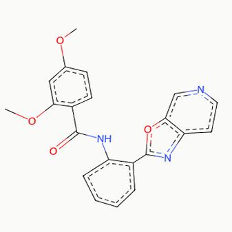 COc1ccc(C(=O)Nc2ccccc2-c2nc3ccncc3o2)c(OC)c1